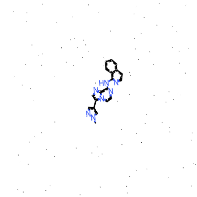 Cn1cc(-c2cnc3c(Nc4nccc5ccccc45)nccn23)cn1